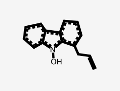 C=CCc1cccc2c3ccccc3n(O)c12